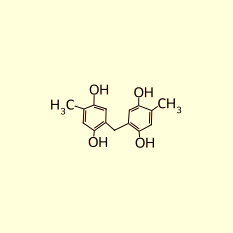 Cc1cc(O)c(Cc2cc(O)c(C)cc2O)cc1O